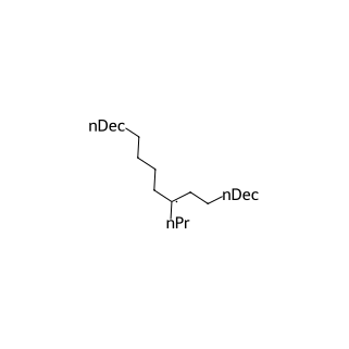 CCCCCCCCCCCCCC[C](CCC)CCCCCCCCCCCC